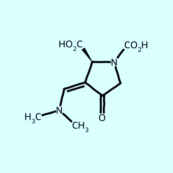 CN(C)/C=C1\C(=O)CN(C(=O)O)[C@@H]1C(=O)O